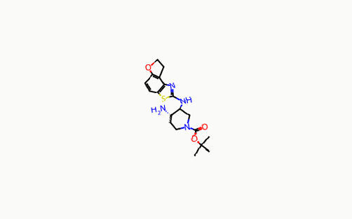 CC(C)(C)OC(=O)N1CC[C@H](N)[C@@H](Nc2nc3c4c(ccc3s2)OCC4)C1